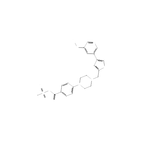 CCOc1cncc(-c2csc(CN3CCN(c4ccc(C(=O)NS(C)(=O)=O)cc4)CC3)c2)c1